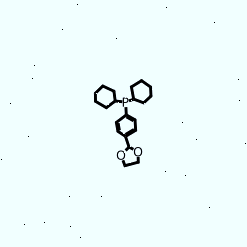 c1cc(P(C2CCCCC2)C2CCCCC2)ccc1C1OCCO1